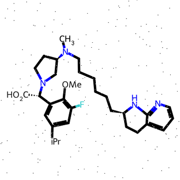 COc1c(F)cc(C(C)C)cc1[C@H](C(=O)O)N1CC[C@@H](N(C)CCCCCC[C@@H]2CCc3cccnc3N2)C1